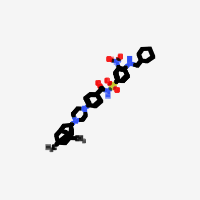 CC12CC3CC(C)(C1)CC(N1CCN(c4ccc(C(=O)NS(=O)(=O)c5ccc(NCC6CCCCC6)c([N+](=O)[O-])c5)cc4)CC1)(C3)C2